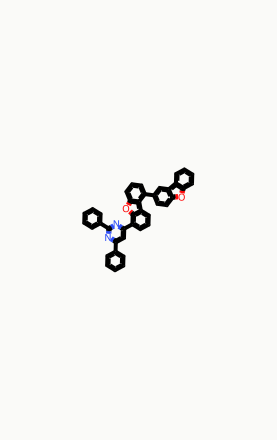 c1ccc(-c2cc(-c3cccc4c3oc3cccc(-c5ccc6oc7ccccc7c6c5)c34)nc(-c3ccccc3)n2)cc1